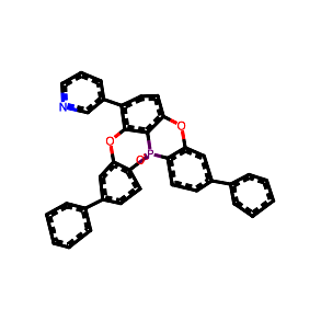 O=P12c3ccc(-c4ccccc4)cc3Oc3ccc(-c4cccnc4)c(c31)Oc1cc(-c3ccccc3)ccc12